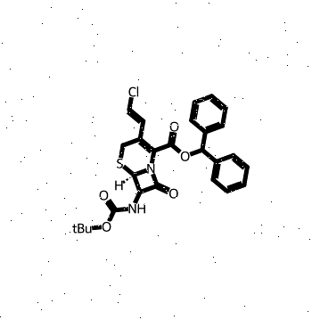 CC(C)(C)OC(=O)NC1C(=O)N2C(C(=O)OC(c3ccccc3)c3ccccc3)=C(/C=C/Cl)CS[C@H]12